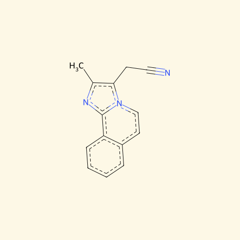 Cc1nc2c3ccccc3ccn2c1CC#N